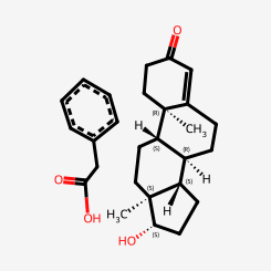 C[C@]12CC[C@H]3[C@@H](CCC4=CC(=O)CC[C@@]43C)[C@@H]1CC[C@@H]2O.O=C(O)Cc1ccccc1